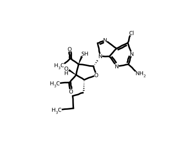 CCCC[C@H]1O[C@@H](n2cnc3c(Cl)nc(N)nc32)[C@@](S)(C(C)=O)[C@@]1(O)C(C)=O